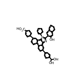 O=C(O)c1ccc(-c2ccc3c4ccc(-c5ccc(C(O)O)cc5)cc4c4nc(-c5cc6ccccc6cc5O)n(-c5ccccc5)c4c3c2)cc1